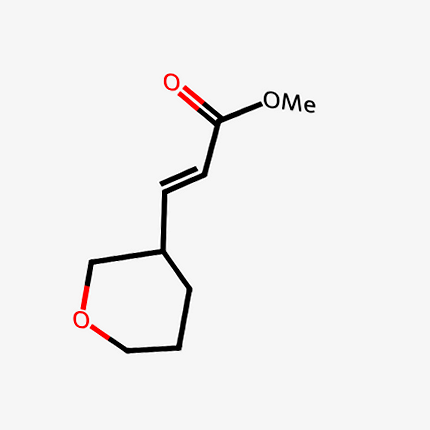 COC(=O)C=CC1CCCOC1